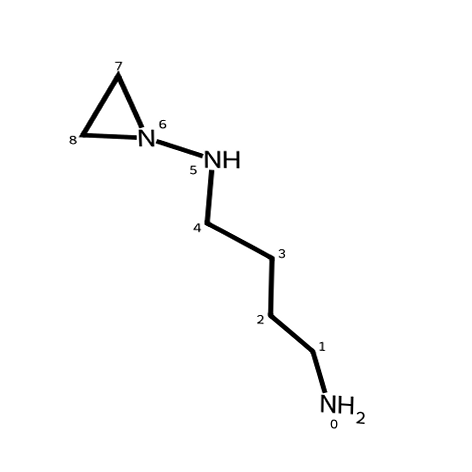 NCCCCNN1CC1